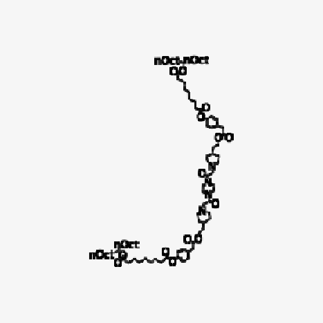 CCCCCCCCC(CCCCCCCC)OC(=O)CCCCCCCC(=O)Oc1ccc(CC(=O)OCCC2CCN(CC(=O)N3CCN(C(=O)CN4CCC(CCOC(=O)Cc5ccc(OC(=O)CCCCCCCC(=O)OC(CCCCCCCC)CCCCCCCC)cc5)CC4)CC3)CC2)cc1